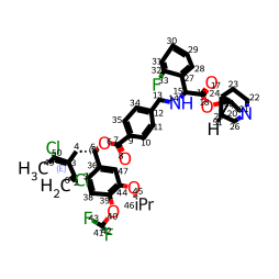 C=C(Cl)/C(C[C@H](OC(=O)c1ccc(CNC(C(=O)O[C@H]2CN3CCC2CC3)c2ccccc2F)cc1)c1ccc(OC(F)F)c(OC(C)C)c1)=C(\C)Cl